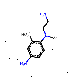 CC(=O)N(CCN)c1ccc(N)cc1S(=O)(=O)O